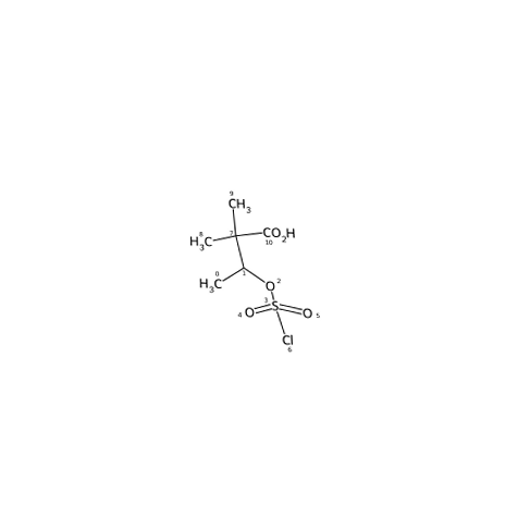 CC(OS(=O)(=O)Cl)C(C)(C)C(=O)O